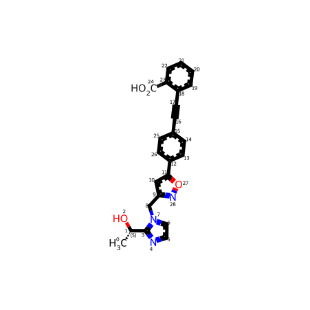 C[C@H](O)c1nccn1Cc1cc(-c2ccc(C#Cc3ccccc3C(=O)O)cc2)on1